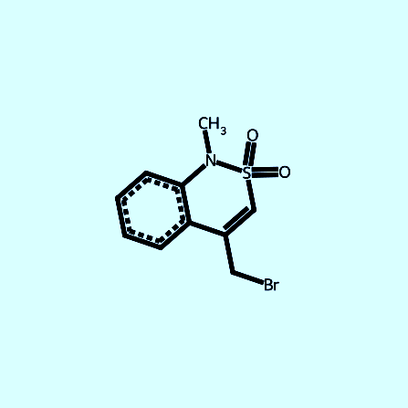 CN1c2ccccc2C(CBr)=CS1(=O)=O